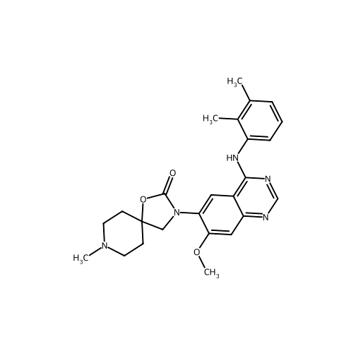 COc1cc2ncnc(Nc3cccc(C)c3C)c2cc1N1CC2(CCN(C)CC2)OC1=O